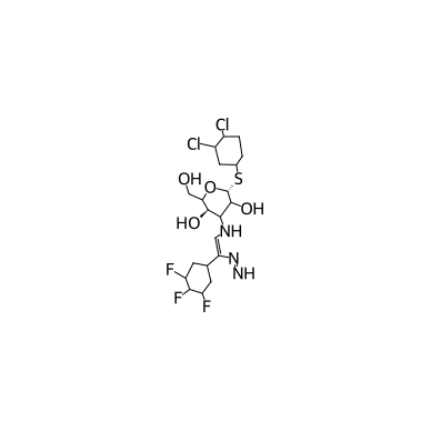 N=N/C(=C\NC1C(O)[C@@H](SC2CCC(Cl)C(Cl)C2)OC(CO)[C@@H]1O)C1CC(F)C(F)C(F)C1